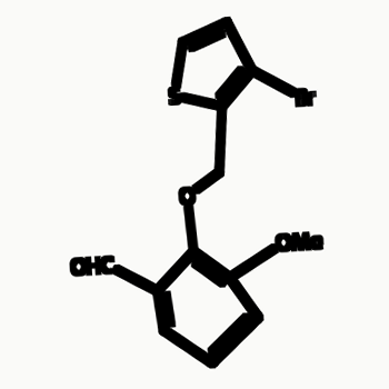 COc1cccc(C=O)c1OCc1sccc1Br